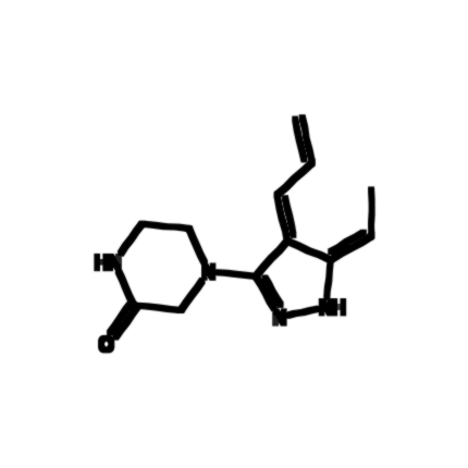 C=C/C=c1/c(N2CCNC(=O)C2)n[nH]/c1=C/C